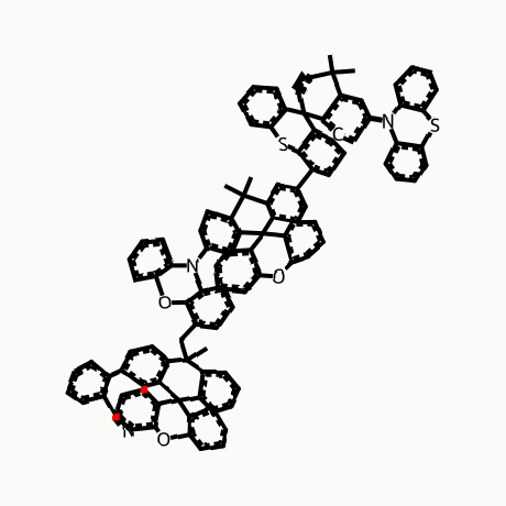 CC1(C)c2cc(-c3cccc4c3Sc3ccccc3C43c4ccccc4C(C)(C)c4cc(N5c6ccccc6Sc6ccccc65)ccc43)ccc2C2(c3ccccc3Oc3ccccc32)c2cc(N3c4ccccc4Oc4c(CC5(C)c6ccccc6C6(c7ccccc7Oc7ccccc76)c6cc(-c7ccccc7C#N)ccc65)cccc43)ccc21